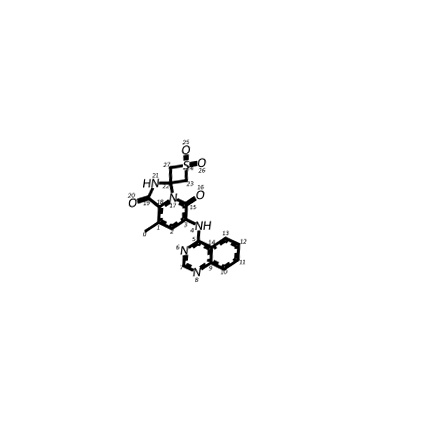 Cc1cc(Nc2ncnc3ccccc23)c(=O)n2c1C(=O)NC21CS(=O)(=O)C1